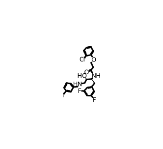 O=C(CCOc1ccccc1Cl)N[C@@H](Cc1cc(F)cc(F)c1)[C@@H](O)CNCc1cccc(I)c1